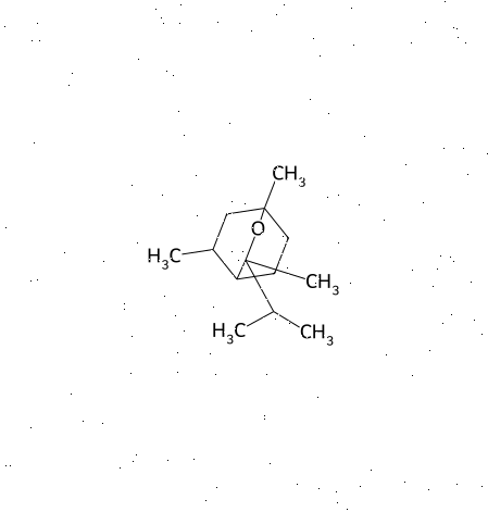 CC1CC2(C)CCC1C(C)(C(C)C)O2